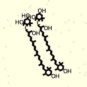 CC(/C=C/C=C(/C=C=C1C(C)(C)CC(O)CC1(C)O)CO)=C\C=C\C=C(C)\C=C\C=C(C)\C=C\C1C(C)CC(O)CC1(C)C.CC(/C=C/C=C(/C=C=C1C(C)(C)CC(O)CC1(C)O)CO)=C\C=C\C=C(C)\C=C\C=C(C)\C=C\C1C(C)CC(O)CC1(C)C